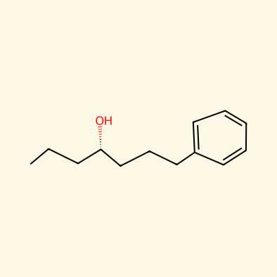 CCC[C@H](O)CCCc1ccccc1